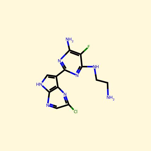 NCCNc1nc(-c2c[nH]c3ncc(Cl)nc23)nc(N)c1F